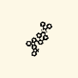 CC1(C)C2CC=CC=C2C2C=C3C(=CC21)c1c(-c2cccc(-c4cccc(-c5nc(-c6ccccc6)c(-c6ccccc6)nc5-c5ccccc5)c4)c2)cccc1C31CCCCC1